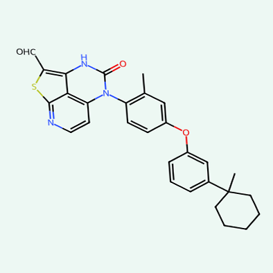 Cc1cc(Oc2cccc(C3(C)CCCCC3)c2)ccc1N1C(=O)Nc2c(C=O)sc3nccc1c23